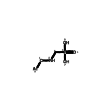 CC(=O)ONCP(=O)(O)O